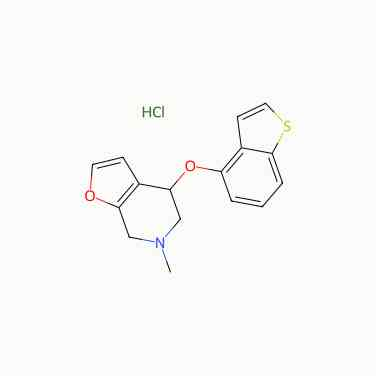 CN1Cc2occc2C(Oc2cccc3sccc23)C1.Cl